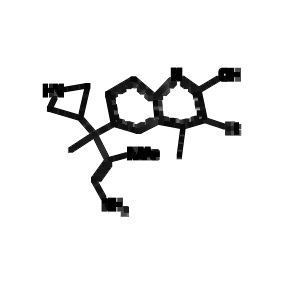 CCc1c(O)nc2ccc(C(C)(/C(=C/N)NC)C3CNC3)cc2c1C